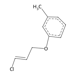 Cc1cccc(OC/C=C/Cl)c1